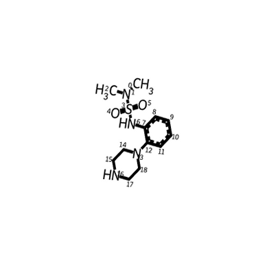 CN(C)S(=O)(=O)Nc1ccccc1N1CCNCC1